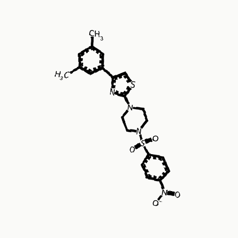 Cc1cc(C)cc(-c2csc(N3CCN(S(=O)(=O)c4ccc([N+](=O)[O-])cc4)CC3)n2)c1